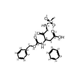 CS(=O)(=O)NCC(=O)C(CC(=O)O)NC(=O)OCc1ccccc1.c1ccccc1